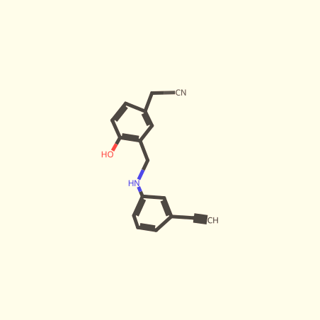 C#Cc1cccc(NCc2cc(CC#N)ccc2O)c1